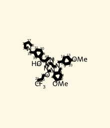 COc1ccc(CN(Cc2ccc(OC)cc2)c2nc(OCCCC(F)(F)F)nn3c(C(O)c4cccc(CN5CCCC5)c4)cnc23)cc1